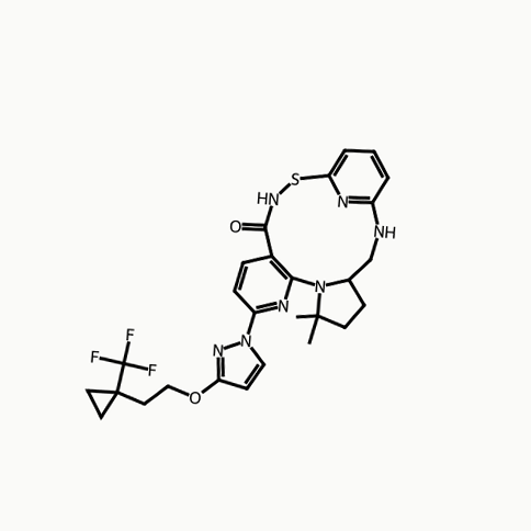 CC1(C)CCC2CNc3cccc(n3)SNC(=O)c3ccc(-n4ccc(OCCC5(C(F)(F)F)CC5)n4)nc3N21